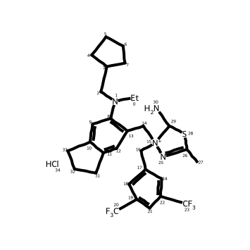 CCN(CC1CCCC1)c1cc2c(cc1C[N+]1(Cc3cc(C(F)(F)F)cc(C(F)(F)F)c3)N=C(C)SC1N)CCC2.Cl